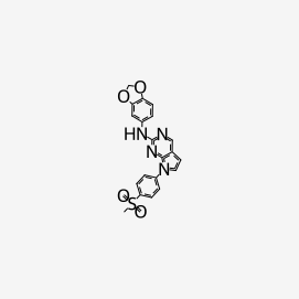 CS(=O)(=O)c1ccc(-n2ccc3cnc(Nc4ccc5c(c4)OCO5)nc32)cc1